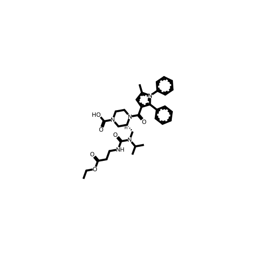 CCOC(=O)CCNC(=O)N(C[C@@H]1CN(C(=O)O)CCN1C(=O)c1cc(C)n(-c2ccccc2)c1-c1ccccc1)C(C)C